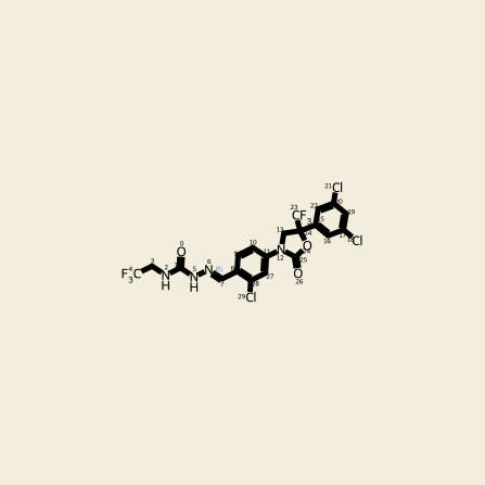 O=C(NCC(F)(F)F)N/N=C/c1ccc(N2CC(c3cc(Cl)cc(Cl)c3)(C(F)(F)F)OC2=O)cc1Cl